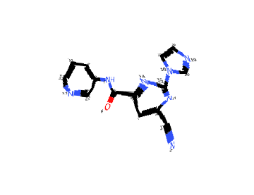 N#Cc1cc(C(=O)Nc2cccnc2)nc(-n2ccnc2)n1